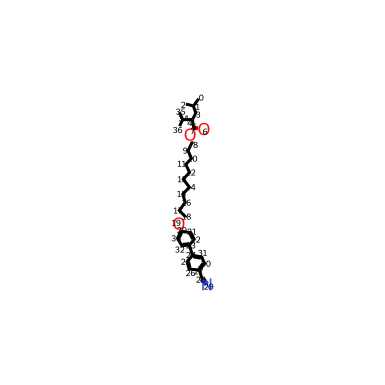 CC(C)CC(C(=O)OCCCCCCCCCCCOc1ccc(-c2ccc(C#N)cc2)cc1)C(C)C